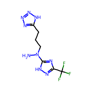 NN(CCCc1nnn[nH]1)c1nc(C(F)(F)F)n[nH]1